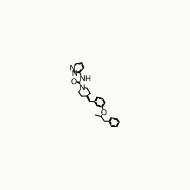 CC(Cc1ccccc1)Oc1cccc(C=C2CCN(C(=O)Nc3cccnn3)CC2)c1